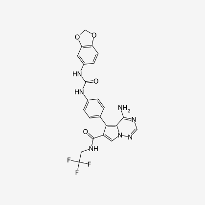 Nc1ncnn2cc(C(=O)NCC(F)(F)F)c(-c3ccc(NC(=O)Nc4ccc5c(c4)OCO5)cc3)c12